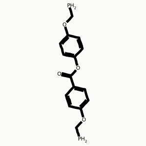 O=C(Oc1ccc(OCP)cc1)c1ccc(OCP)cc1